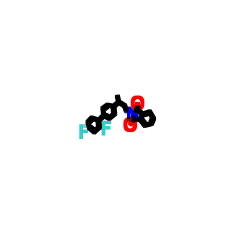 CC(CCN1C(=O)c2ccccc2C1=O)c1ccc(-c2ccc(F)cc2F)cc1